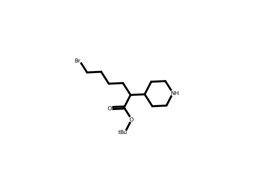 CC(C)(C)OC(=O)C(CCCCBr)C1CCNCC1